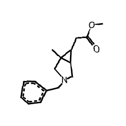 COC(=O)CC1C2CN(Cc3ccccc3)CC12C